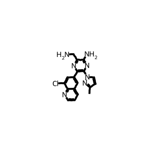 Cc1ccn(-c2nc(N)c(CN)nc2-c2cc(Cl)c3ncccc3c2)n1